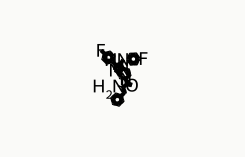 N[C@H](Cc1ccccc1)C(=O)N1CCn2c(nc(-c3ccc(F)cc3)c2Nc2ccc(F)cc2)C1